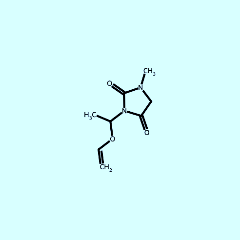 C=COC(C)N1C(=O)CN(C)C1=O